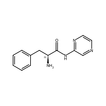 N[C@@H](Cc1ccccc1)C(=O)Nc1cnccn1